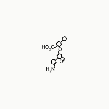 NCc1cccc(-c2cc(COc3cc(C4CCCC4)ccc3CC(=O)O)cc3ccoc23)c1